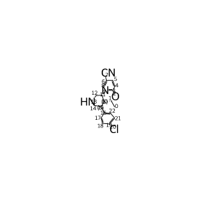 CC(Oc1ccc(C#N)cn1)[C@H]1CCNC[C@@H]1c1ccc(Cl)cc1